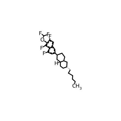 CCCCCC[C@@H]1CC[C@@H]2CC(c3cc(F)c4c(F)c(OC(F)F)c(F)cc4c3)CCC2C1